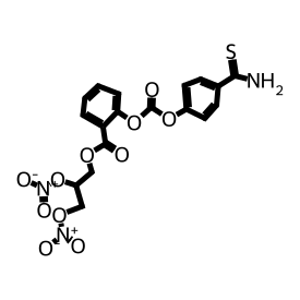 NC(=S)c1ccc(OC(=O)Oc2ccccc2C(=O)OCC(CO[N+](=O)[O-])O[N+](=O)[O-])cc1